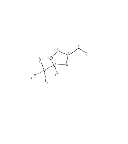 CCC1COC(C)(C(F)(F)F)C1